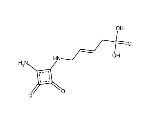 Nc1c(NCC=CCP(=O)(O)O)c(=O)c1=O